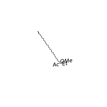 CC=CCCCCCCCCCCCCCCCCCCCCCCCCCC(CC(CC)OC)C(C)=O